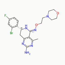 Cc1nc(N)nc2c1/C(=N/OCCN1CCOCC1)N[C@@H](c1ccc(F)cc1Br)C2